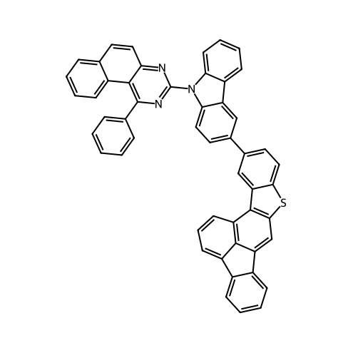 c1ccc(-c2nc(-n3c4ccccc4c4cc(-c5ccc6sc7cc8c9c(cccc9c7c6c5)-c5ccccc5-8)ccc43)nc3ccc4ccccc4c23)cc1